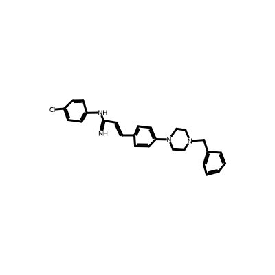 N=C(/C=C/c1ccc(N2CCN(Cc3ccccc3)CC2)cc1)Nc1ccc(Cl)cc1